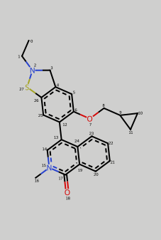 CCN1Cc2cc(OCC3CC3)c(-c3cn(C)c(=O)c4ccccc34)cc2S1